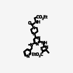 CCOC(=O)CNC(=O)N1CCN(c2cc(N(C)Cc3cccnc3)nc(Nc3nc(C)c(C(=O)OCC)s3)n2)CC1